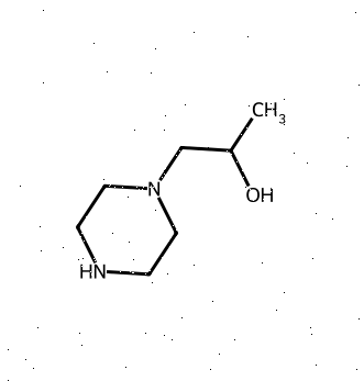 CC(O)CN1CCNCC1